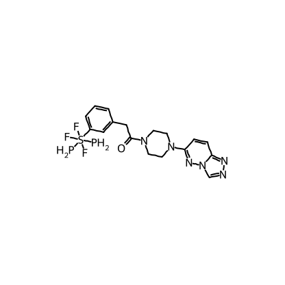 O=C(Cc1cccc(S(F)(F)(F)(P)P)c1)N1CCN(c2ccc3nncn3n2)CC1